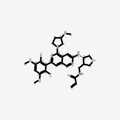 C=CC(=O)NCC1COC[C@H]1Nc1cc2c(N3CCC(OC)C3)nc(-c3c(F)c(OC)cc(OC)c3F)cc2cn1